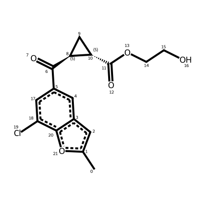 Cc1cc2cc(C(=O)[C@H]3C[C@@H]3C(=O)OCCO)cc(Cl)c2o1